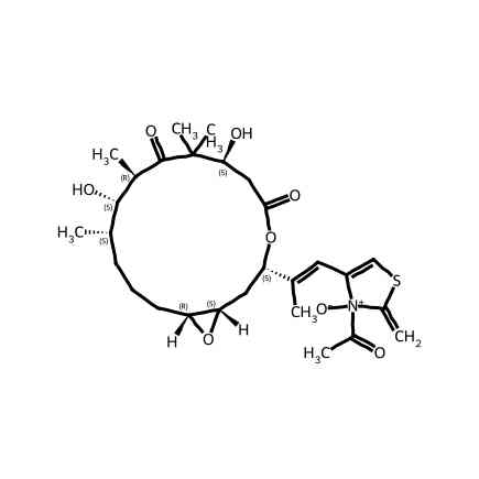 C=C1SC=C(C=C(C)[C@@H]2C[C@@H]3O[C@@H]3CCC[C@H](C)[C@H](O)[C@@H](C)C(=O)C(C)(C)[C@@H](O)CC(=O)O2)[N+]1([O-])C(C)=O